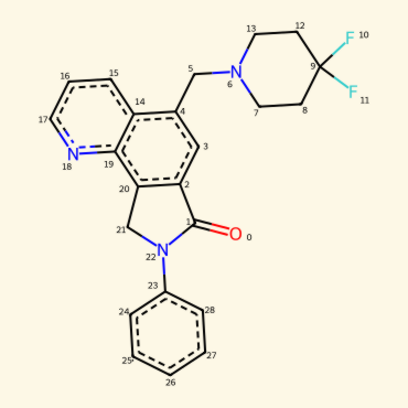 O=C1c2cc(CN3CCC(F)(F)CC3)c3cccnc3c2CN1c1c[c]ccc1